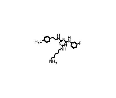 Cc1ccc(CCNc2nc(NCCCCCN)nc(Nc3cccc(F)c3)n2)cc1